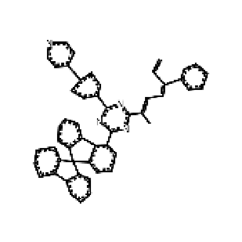 C=C/C(=C\C=C(/C)c1nc(-c2ccc(-c3ccncc3)cc2)nc(-c2cccc3c2-c2ccccc2C32c3ccccc3-c3ccccc32)n1)c1ccccc1